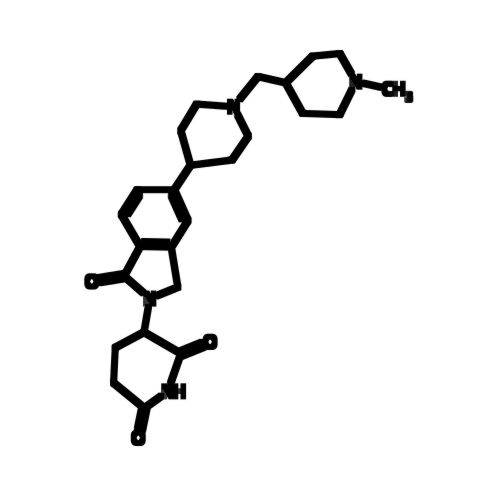 CN1CCC(CN2CCC(c3ccc4c(c3)CN(C3CCC(=O)NC3=O)C4=O)CC2)CC1